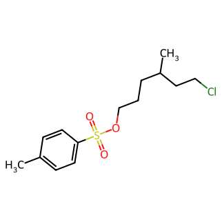 Cc1ccc(S(=O)(=O)OCCCC(C)CCCl)cc1